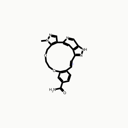 Cn1ncc2c1COCCOc1cc(C(N)=O)ccc1/C=C/c1n[nH]c3cnc-2cc13